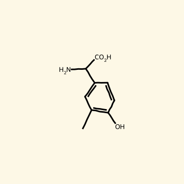 Cc1cc(C(N)C(=O)O)ccc1O